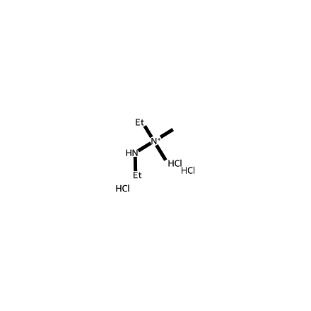 CCN[N+](C)(C)CC.Cl.Cl.Cl